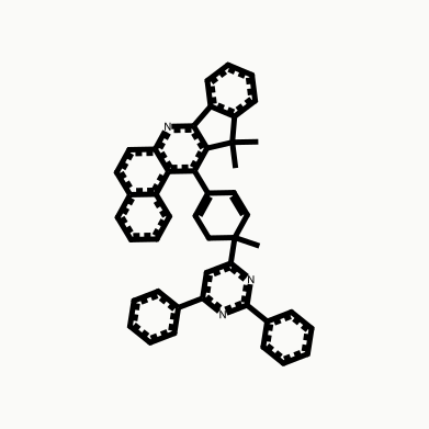 CC1(c2cc(-c3ccccc3)nc(-c3ccccc3)n2)C=CC(c2c3c(nc4ccc5ccccc5c24)-c2ccccc2C3(C)C)=CC1